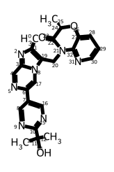 Cc1nc2cnc(-c3cnc(C(C)(C)O)nc3)cn2c1CN1C(=O)[C@@H](C)Oc2cccnc21